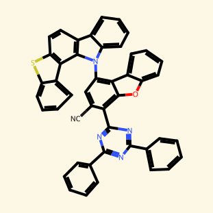 N#Cc1cc(-n2c3ccccc3c3ccc4sc5ccccc5c4c32)c2c(oc3ccccc32)c1-c1nc(-c2ccccc2)nc(-c2ccccc2)n1